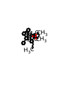 CCCCc1ccc(N2c3cc(-c4ccccc4)cc4c3B(c3sc5cc6c(cc5c32)C(C)(C)CCC6(C)C)n2c3ccccc3c3cccc-4c32)c(-c2ccccc2)c1